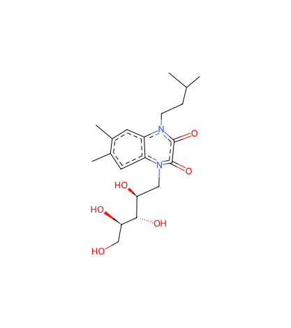 Cc1cc2c(cc1C)n(C[C@H](O)[C@H](O)[C@H](O)CO)c(=O)c(=O)n2CCC(C)C